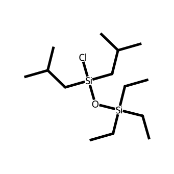 CC[Si](CC)(CC)O[Si](Cl)(CC(C)C)CC(C)C